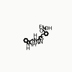 CCN(O)C(=O)c1ccccc1Cc1cc2c(NN=Cc3c(C(C)C)[nH]c4ccccc34)ncnc2s1